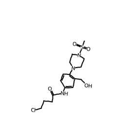 CS(=O)(=O)N1CCN(c2ccc(NC(=O)CCCCl)cc2CO)CC1